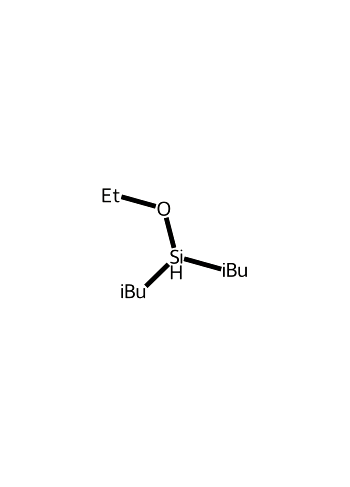 CCO[SiH](C(C)CC)C(C)CC